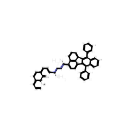 N/C(=C\C=C(/N)c1ccc2c3c(cccc13)-c1c-2c(-c2ccccc2)c2ccccc2c1-c1ccccc1)c1ccc2ccc3cccnc3c2n1